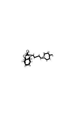 CC1CCN(CCCCn2c(=O)oc3ccccc32)CC1